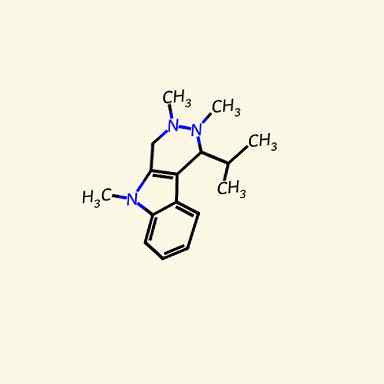 CC(C)C1c2c(n(C)c3ccccc23)CN(C)N1C